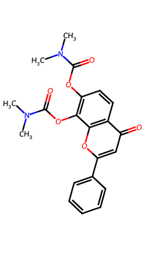 CN(C)C(=O)Oc1ccc2c(=O)cc(-c3ccccc3)oc2c1OC(=O)N(C)C